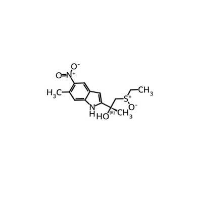 CC[S+]([O-])C[C@](C)(O)c1cc2cc([N+](=O)[O-])c(C)cc2[nH]1